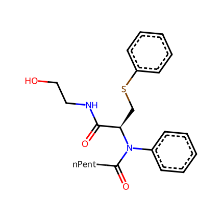 CCCCCC(=O)N(c1ccccc1)[C@H](CSc1ccccc1)C(=O)NCCO